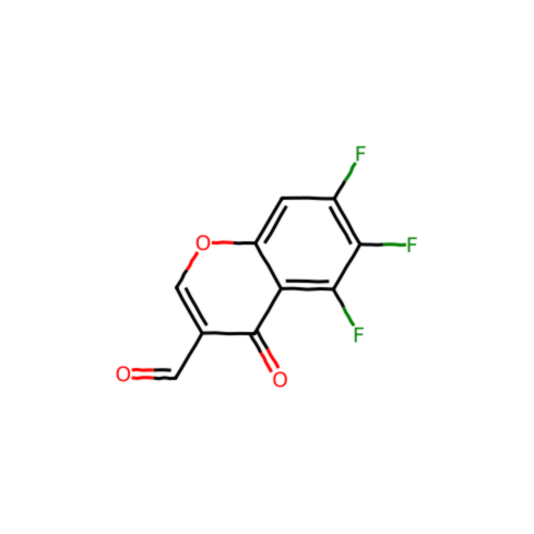 O=Cc1coc2cc(F)c(F)c(F)c2c1=O